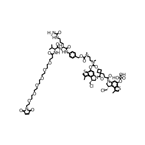 Cc1csc2c(OP(=O)(O)O)cc3c(c12)[C@H](CCl)CN3C(=O)CCC1(C(=O)N2C[C@@H](CCl)c3c2cc(OC(=O)N(C)CCN(C)C(=O)OCc2ccc(NC(=O)[C@H](CCCNC(N)=O)NC(=O)[C@@H](NC(=O)CCOCCOCCOCCOCCOCCOCCN4C(=O)C=CC4=O)C(C)C)cc2)c2scc(C)c32)CCC1